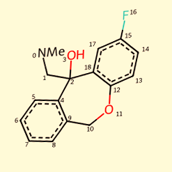 CNCC1(O)c2ccccc2COc2ccc(F)cc21